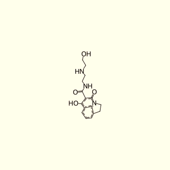 O=C(NCCNCCO)c1c(O)c2cccc3c2n(c1=O)CC3